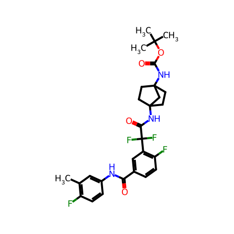 Cc1cc(NC(=O)c2ccc(F)c(C(F)(F)C(=O)NC34CCC(NC(=O)OC(C)(C)C)(CC3)C4)c2)ccc1F